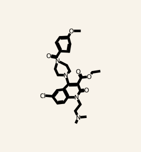 CCOC(=O)c1c(N2CCN(C(=O)c3ccc(OC)cc3)CC2)c2cc(Cl)ccc2n(CCN(C)C)c1=O